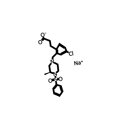 C[C@H]1CN(Cc2cc(Cl)ccc2CCC(=O)[O-])CCN1S(=O)(=O)c1ccccc1.[Na+]